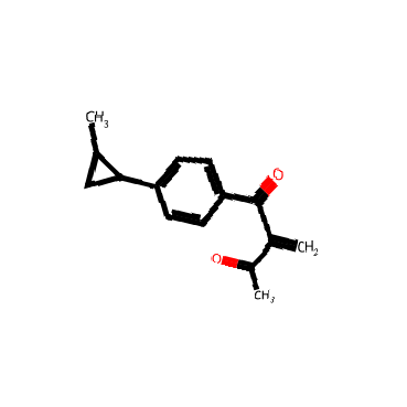 C=C(C(C)=O)C(=O)c1ccc(C2CC2C)cc1